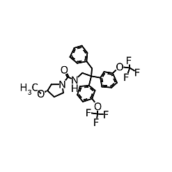 CO[C@@H]1CCN(C(=O)NCC(Cc2ccccc2)(c2cccc(OC(F)(F)F)c2)c2cccc(OC(F)(F)F)c2)C1